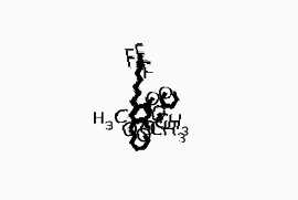 COc1c(OC2CCCCO2)c(C)c(CCCCCC(F)(F)F)c(OC2CCCCO2)c1OC